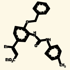 CCOC(=O)C=C(CC)c1ccc(OCc2ccccc2)c(NC(=O)Nc2ccc(C)cc2)c1